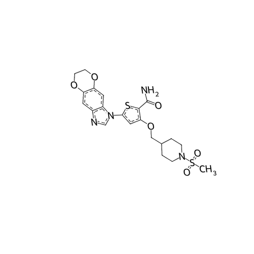 CS(=O)(=O)N1CCC(COc2cc(-n3cnc4cc5c(cc43)OCCO5)sc2C(N)=O)CC1